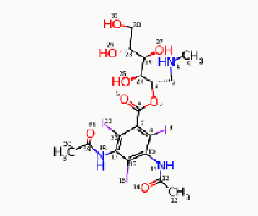 CNC[C@H](OC(=O)c1c(I)c(NC(C)=O)c(I)c(NC(C)=O)c1I)[C@@H](O)[C@H](O)[C@H](O)CO